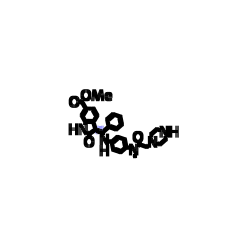 COC(=O)c1ccc2c(c1)NC(=O)/C2=C(\Nc1ccc(N(C)C(=O)CN2CCNCC2)cc1)c1ccccc1